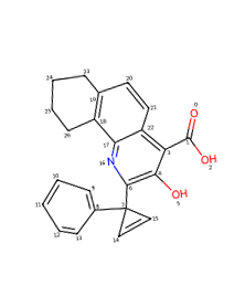 O=C(O)c1c(O)c(C2(c3ccccc3)C=C2)nc2c3c(ccc12)CCCC3